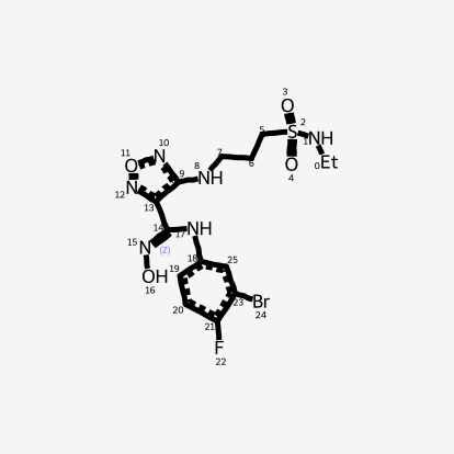 CCNS(=O)(=O)CCCNc1nonc1/C(=N/O)Nc1ccc(F)c(Br)c1